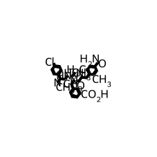 C=NC(c1ccc(Cl)cc1)C(C)NC(C)N(Cc1cccc(C(=O)O)c1)C(=O)[C@@H](N)Cc1c(C)cc(C(N)=O)cc1C